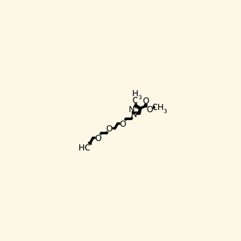 C#CCOCCOCCOCCn1cc(C(=O)OC)c(C)n1